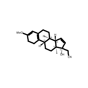 COC1=CC2=C(CC1)[C@H]1CC[C@@]3(C)[C@@H](C=C[C@@]3(O)CC#N)[C@@H]1CC2